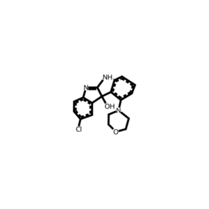 NC1=Nc2ccc(Cl)cc2C1(O)c1ccccc1N1CCOCC1